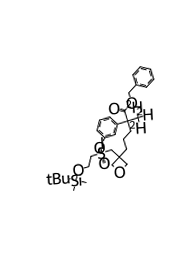 [2H]C([2H])([2H])C(CCCC1(CS(=O)(=O)CCO[Si](C)(C)C(C)(C)C)COC1)(C(=O)OCc1ccccc1)c1cccc(I)c1